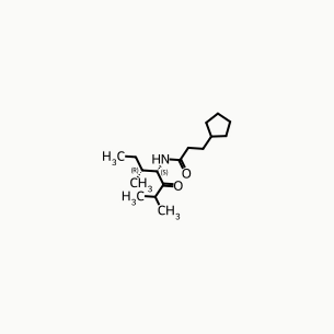 CC[C@@H](C)[C@H](NC(=O)CCC1CCCC1)C(=O)C(C)C